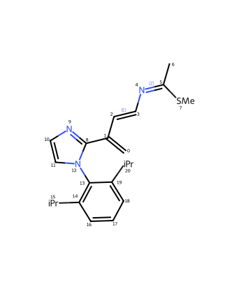 C=C(/C=C/N=C(/C)SC)c1nccn1-c1c(C(C)C)cccc1C(C)C